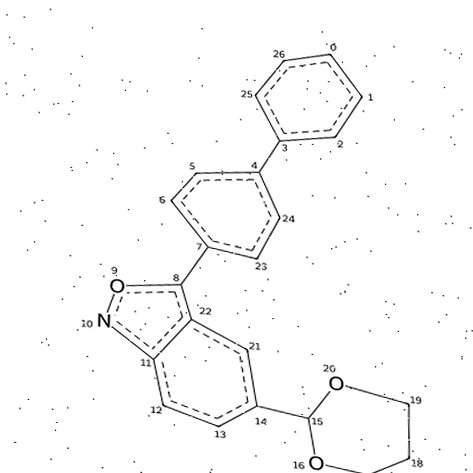 c1ccc(-c2ccc(-c3onc4ccc(C5OCCCO5)cc34)cc2)cc1